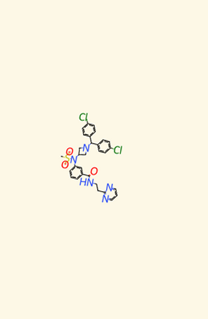 CS(=O)(=O)N(c1cccc(C(=O)NCCc2ncccn2)c1)C1CN(C(c2ccc(Cl)cc2)c2ccc(Cl)cc2)C1